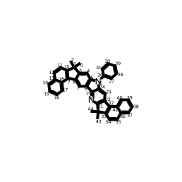 CC1(C)c2cc3c(cc2-c2c1ccc1ccccc21)c1nc2c(cc1n3-c1ccccc1)-c1c(ccc3ccccc13)C2(C)C